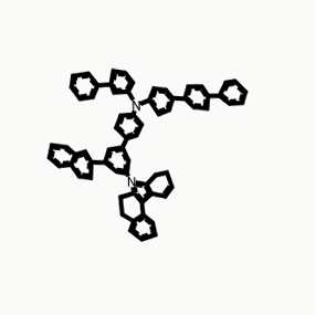 C1=Cc2c3c(n(-c4cc(-c5ccc(N(c6ccc(-c7ccc(-c8ccccc8)cc7)cc6)c6cccc(-c7ccccc7)c6)cc5)cc(-c5ccc6ccccc6c5)c4)c2CC1)CCc1ccccc1-3